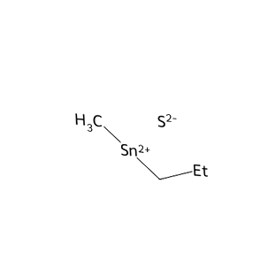 CC[CH2][Sn+2][CH3].[S-2]